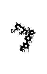 N#CC(=Cc1cccc(Br)n1)C(=O)NC1(c2ccc(-c3ccc4[nH]ccc4c3)cc2)CCCC1